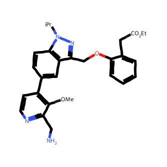 CCOC(=O)Cc1ccccc1OCc1nn(C(C)C)c2ccc(-c3ccnc(CN)c3OC)cc12